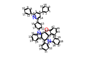 c1ccc(-c2cc(-c3ccccc3)nc(-c3ccc(-n4c5ccccc5c5c6c7ccccc7n(-c7ccccc7)c6c6c7ccccc7oc6c54)cc3)c2)cc1